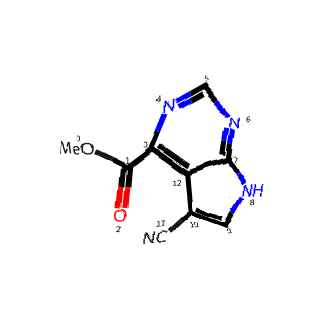 COC(=O)c1ncnc2[nH]cc(C#N)c12